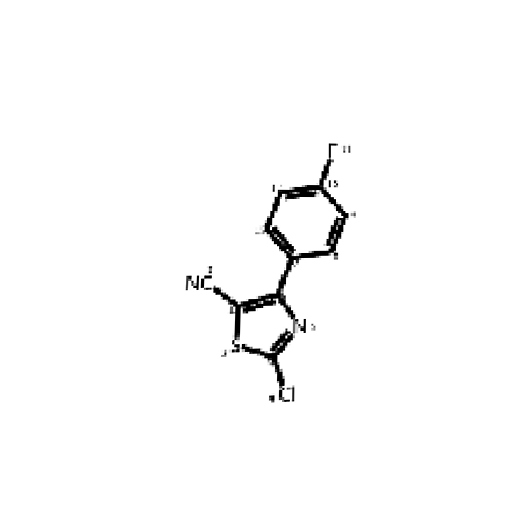 N#Cc1sc(Cl)nc1-c1ccc(F)cc1